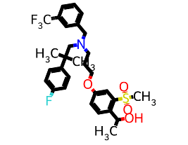 CC(O)c1ccc(OCCCN(Cc2cccc(C(F)(F)F)c2)CC(C)(C)c2ccc(F)cc2)cc1S(C)(=O)=O